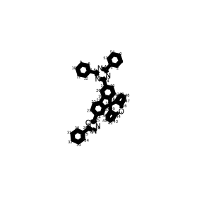 c1ccc(-c2nc(-c3ccccc3)nc(-c3ccc4c(c3)-c3ccc(-c5nnc(-c6ccccc6)o5)cc3C43c4ccccc4Oc4ccccc43)n2)cc1